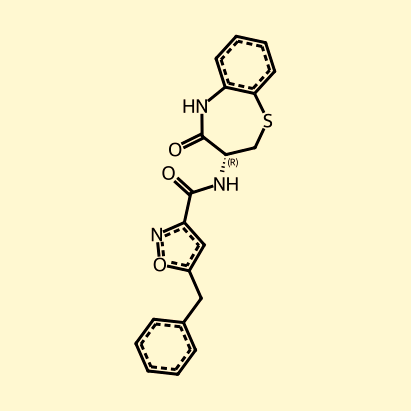 O=C(N[C@H]1CSc2ccccc2NC1=O)c1cc(Cc2ccccc2)on1